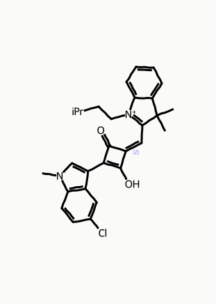 CC(C)CC[N+]1=C(/C=C2\C(=O)C(c3cn(C)c4ccc(Cl)cc34)=C2O)C(C)(C)c2ccccc21